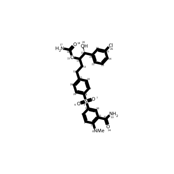 CNc1ccc(S(=O)(=O)c2ccc(CCC(OC(N)=O)[C@H](O)c3cccc(Cl)c3)cc2)cc1C(N)=O